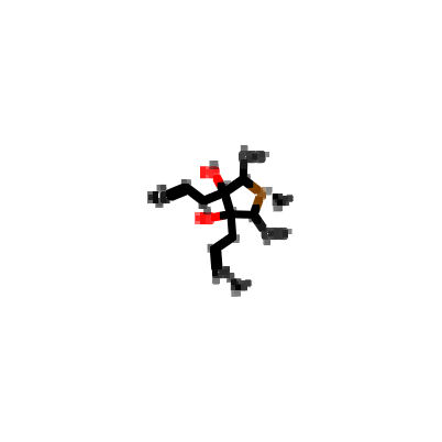 C=CCC1(O)C(C(=O)[O-])SC(C(=O)[O-])C1(O)CC=C.[Na+].[Na+]